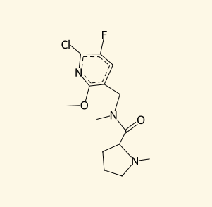 COc1nc(Cl)c(F)cc1CN(C)C(=O)C1CCCN1C